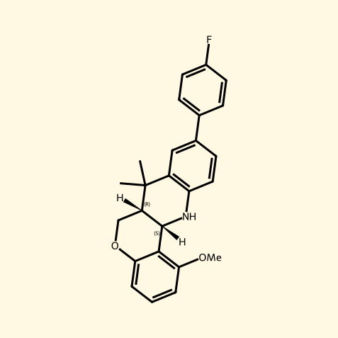 COc1cccc2c1[C@H]1Nc3ccc(-c4ccc(F)cc4)cc3C(C)(C)[C@H]1CO2